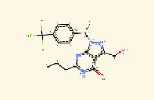 CCCc1nc2c(c(CO)nn2[C@@H](C)c2ccc(C(F)(F)F)cc2)c(=O)[nH]1